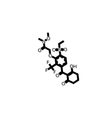 CCS(=O)(=O)c1ccc(C(=O)C2=C(O)CCCC2=O)c(C(F)(F)F)c1OCC(=O)N(C)OC